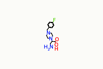 NCC(C(=O)O)N1CCN(Cc2ccc(F)cc2)CC1